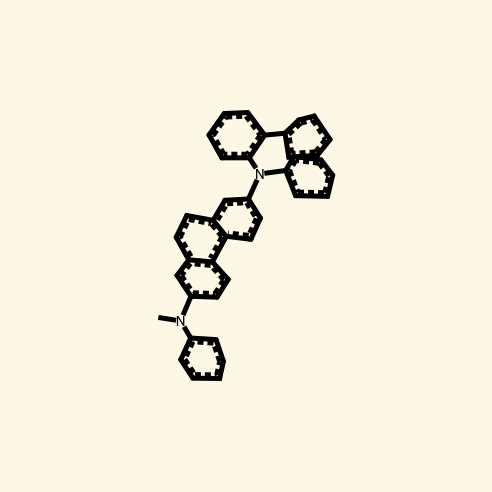 CN(c1ccccc1)c1ccc2c(ccc3cc(N(c4ccccc4)c4ccccc4-c4ccccc4)ccc32)c1